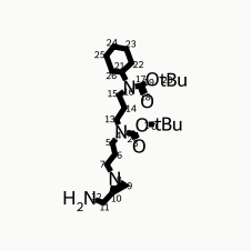 CC(C)(C)OC(=O)N(CCCN1C=C1CN)CCCN(C(=O)OC(C)(C)C)C1CCCCC1